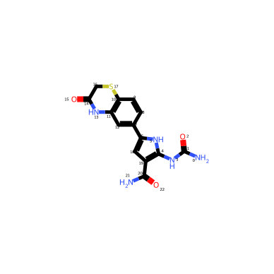 NC(=O)Nc1[nH]c(-c2ccc3c(c2)NC(=O)CS3)cc1C(N)=O